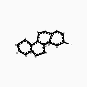 Ic1ccc2ccc3c4ccccc4ccc3c2c1